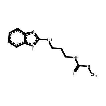 CNC(=S)NCCCNc1nc2ccccc2[nH]1